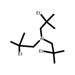 CCC(C)(C)[CH2][Al]([CH2]C(C)(C)CC)[CH2]C(C)(C)CC